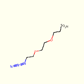 [N-]=[N+]=NCCOCCOCCS(=O)(=O)O